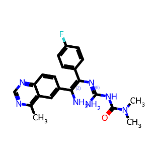 Cc1ncnc2ccc(/C(N)=C(/N=C(\N)NC(=O)N(C)C)c3ccc(F)cc3)cc12